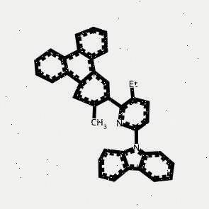 CCc1ccc(-n2c3ccccc3c3ccccc32)nc1-c1cc2c3ccccc3c3ccccc3c2cc1C